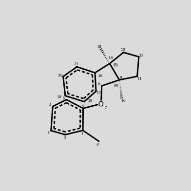 Cc1ccccc1OC[C@]1(C)CCC[C@]1(C)c1ccccc1